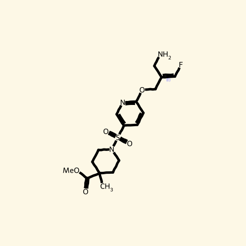 COC(=O)C1(C)CCN(S(=O)(=O)c2ccc(OC/C(=C/F)CN)nc2)CC1